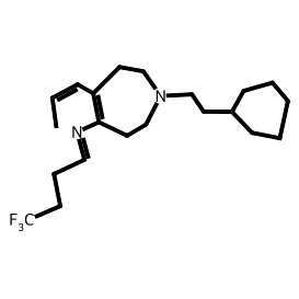 C/C=C\C1=C(/N=C/CCC(F)(F)F)CCN(CCC2CCCCC2)CC1